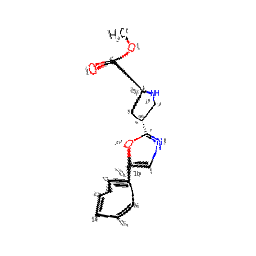 COC(=O)[C@@H]1C[C@@H](c2ncc(-c3ccccc3)o2)CN1